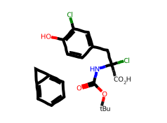 CC(C)(C)OC(=O)NC(Cl)(Cc1ccc(O)c(Cl)c1)C(=O)O.c1ccc2c(c1)C2